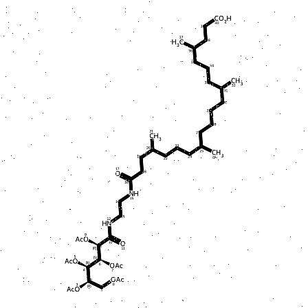 CC(=O)OC[C@@H](OC(C)=O)[C@@H](OC(C)=O)[C@H](OC(C)=O)[C@@H](OC(C)=O)C(=O)NCCNC(=O)CCC(C)CCCC(C)CCCCC(C)CCCC(C)CCC(=O)O